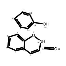 C1=Cc2ccccc2ON1.C=O.Oc1ccccc1